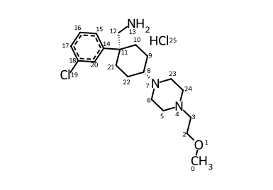 COCCN1CCN([C@H]2CC[C@](CN)(c3cccc(Cl)c3)CC2)CC1.Cl